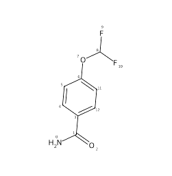 NC(=O)c1ccc(OC(F)F)cc1